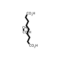 CC(=O)O.O=C(O)CCCCCCCC(=O)O